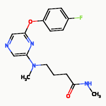 CNC(=O)CCCN(C)c1cncc(Oc2ccc(F)cc2)n1